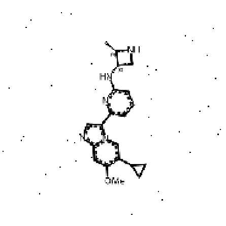 COc1cc2ncc(-c3cccc(N[C@@H]4CN[C@@H]4C)n3)n2cc1C1CC1